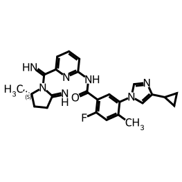 Cc1cc(F)c(C(=O)Nc2cccc(C(=N)N3C(=N)CC[C@@H]3C)n2)cc1-n1cnc(C2CC2)c1